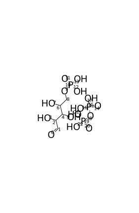 O=CC(O)C(O)C(O)COP(=O)(O)O.O=P(O)(O)OP(=O)(O)O